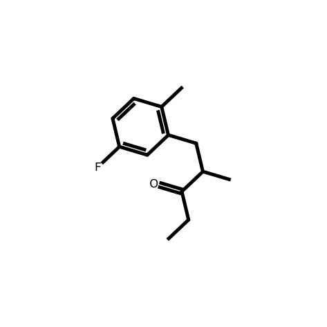 CCC(=O)C(C)Cc1cc(F)ccc1C